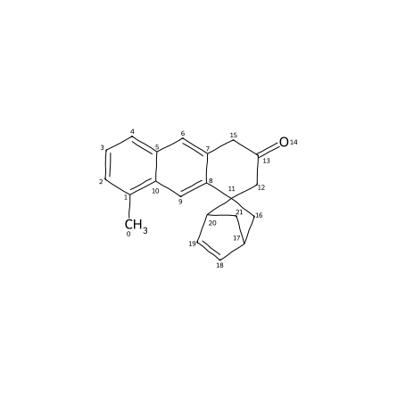 Cc1cccc2cc3c(cc12)C1(CC(=O)C3)CC2C=CC1C2